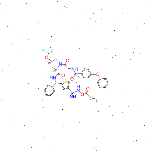 CC(=O)ONC(=N)c1csc(C(NC(=O)[C@@H]2C[C@@H](OC(F)F)CN2C(=O)CNC(=O)c2ccc(Oc3ccccc3)cc2)c2ccccc2)c1